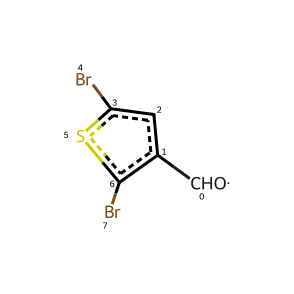 O=[C]c1cc(Br)sc1Br